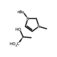 CCCCN1C=CN(C)C1.C[C@H](O)C(=O)O